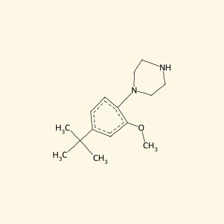 COc1cc(C(C)(C)C)ccc1N1CCNCC1